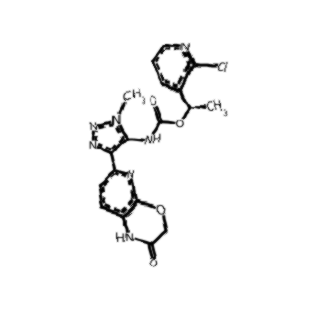 C[C@@H](OC(=O)Nc1c(-c2ccc3c(n2)OCC(=O)N3)nnn1C)c1cccnc1Cl